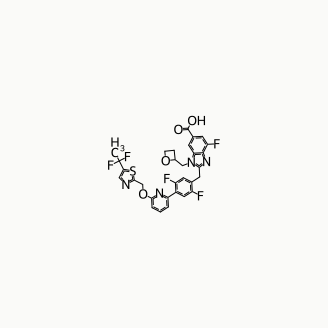 CC(F)(F)c1cnc(COc2cccc(-c3cc(F)c(Cc4nc5c(F)cc(C(=O)O)cc5n4CC4CCO4)cc3F)n2)s1